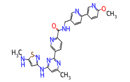 CNc1cc(Nc2cc(C)nc(-c3ccc(C(=O)NCc4ccc(-c5ccc(OC)nc5)nc4)nc3)n2)ns1